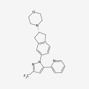 FC(F)(F)c1cc(-c2ccccn2)n(-c2ccc3c(c2)C[C@H](N2CCOCC2)C3)n1